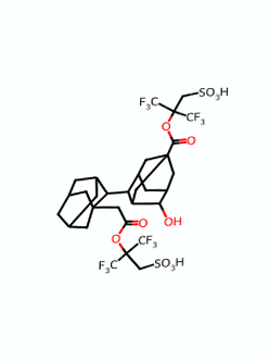 O=C(CC12CC3CC(CC(C3)C1C1C3CC4CC(C(=O)OC(CS(=O)(=O)O)(C(F)(F)F)C(F)(F)F)(C3)CC1C4O)C2)OC(CS(=O)(=O)O)(C(F)(F)F)C(F)(F)F